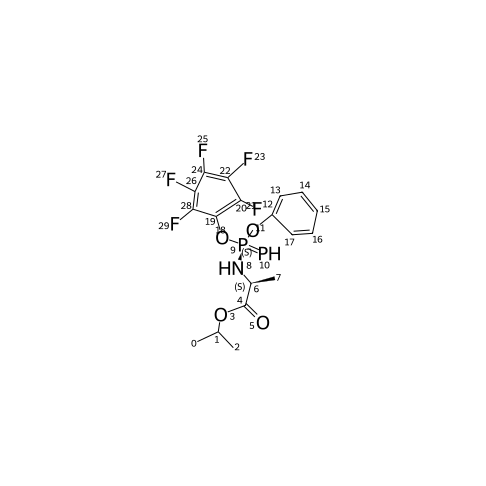 CC(C)OC(=O)[C@H](C)N[P@](=P)(Oc1ccccc1)Oc1c(F)c(F)c(F)c(F)c1F